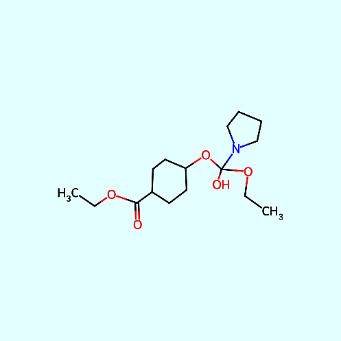 CCOC(=O)C1CCC(OC(O)(OCC)N2CCCC2)CC1